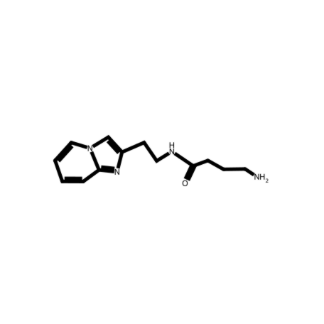 NCCCC(=O)NCCc1cn2ccccc2n1